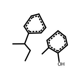 CCC(C)c1ccccc1.Cc1ccccc1O